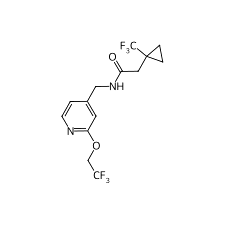 O=C(CC1(C(F)(F)F)CC1)NCc1ccnc(OCC(F)(F)F)c1